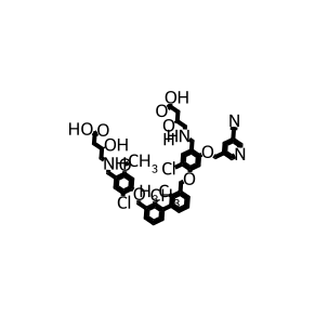 COc1cc(OCc2cccc(-c3cccc(COc4cc(OCc5cncc(C#N)c5)c(CNC[C@@H](O)CC(=O)O)cc4Cl)c3C)c2C)c(Cl)cc1CNC[C@@H](O)CC(=O)O